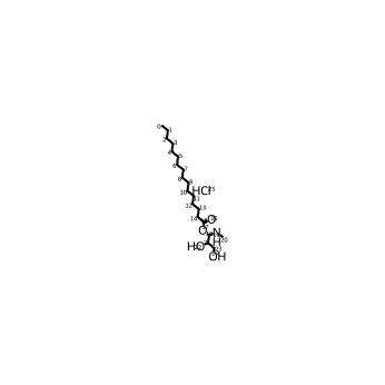 CCCCCCCCCCCCCCCC(=O)OC(NC)C(O)CO.Cl